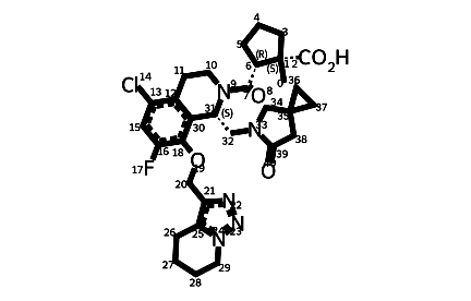 C[C@]1(C(=O)O)CCC[C@H]1C(=O)N1CCc2c(Cl)cc(F)c(OCc3nnn4c3CCCC4)c2[C@H]1CN1CC2(CC2)CC1=O